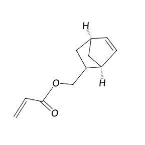 C=CC(=O)OCC1C[C@H]2C=C[C@@H]1C2